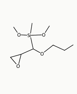 CCCOC(C1CO1)[Si](C)(OC)OC